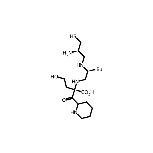 CCC(C)[C@@H](CN[C@](CCO)(C(=O)O)C(=O)C1CCCCN1)NC[C@@H](N)CS